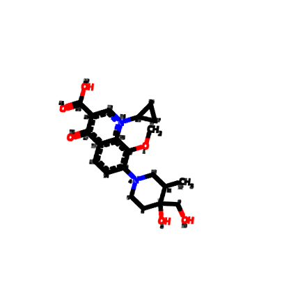 COc1c(N2CCC(O)(CO)C(C)C2)ccc2c(=O)c(C(=O)O)cn(C3CC3)c12